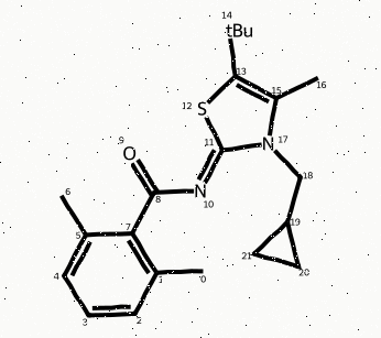 Cc1cccc(C)c1C(=O)/N=c1\sc(C(C)(C)C)c(C)n1CC1CC1